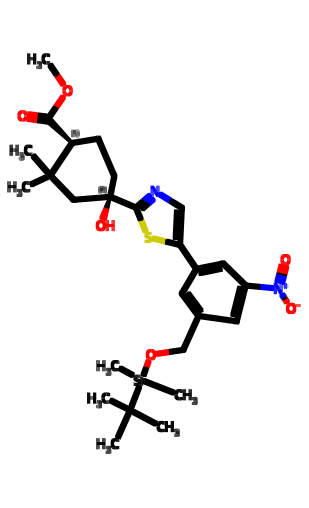 COC(=O)[C@H]1CC[C@](O)(c2ncc(-c3cc(CO[Si](C)(C)C(C)(C)C)cc([N+](=O)[O-])c3)s2)CC1(C)C